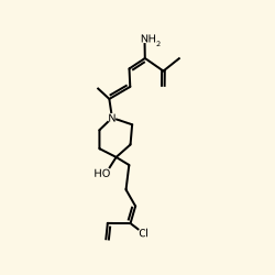 C=C/C(Cl)=C\CCC1(O)CCN(/C(C)=C/C=C(/N)C(=C)C)CC1